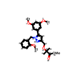 CCOc1cc(OCC)cc(-c2cc(COC(C)(C)C(=O)OC)nn2Cc2ccccc2OCC)c1